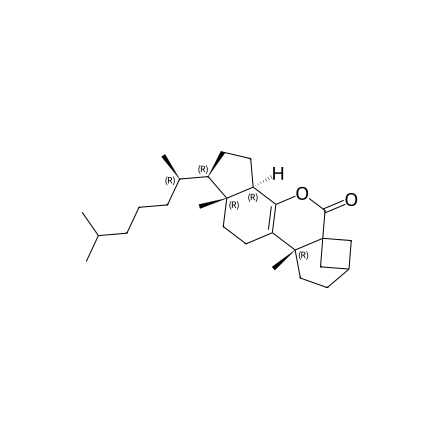 CC(C)CCC[C@@H](C)[C@H]1CC[C@H]2C3=C(CC[C@]12C)[C@@]1(C)CCC2CC1(C2)C(=O)O3